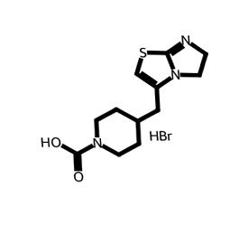 Br.O=C(O)N1CCC(CC2=CSC3=NCCN23)CC1